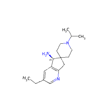 CCc1cnc2c(c1)[C@@H](N)C1(CCN(C(C)C)CC1)C2